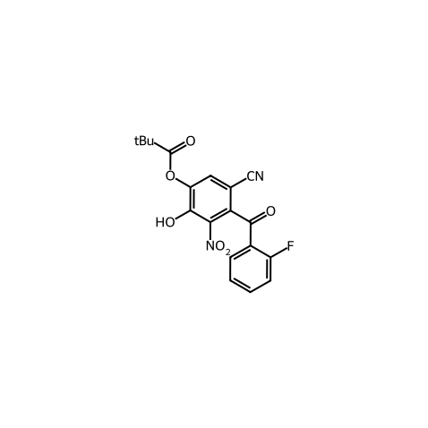 CC(C)(C)C(=O)Oc1cc(C#N)c(C(=O)c2ccccc2F)c([N+](=O)[O-])c1O